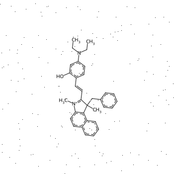 CCN(CC)c1ccc(/C=C/C2=[N+](C)c3ccc4ccccc4c3C2(C)Cc2ccccc2)c(O)c1